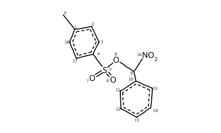 Cc1ccc(S(=O)(=O)OC(c2ccccc2)[N+](=O)[O-])cc1